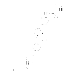 O=C(Nc1ccc(-c2ccnc(Nc3ccc(N4CCN(C(=O)CCO)CC4)cc3)n2)cc1)C1CCCN1